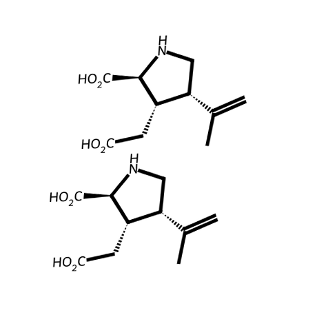 C=C(C)[C@H]1CN[C@H](C(=O)O)[C@H]1CC(=O)O.C=C(C)[C@H]1CN[C@H](C(=O)O)[C@H]1CC(=O)O